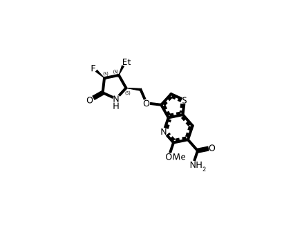 CC[C@@H]1[C@H](F)C(=O)N[C@@H]1COc1csc2cc(C(N)=O)c(OC)nc12